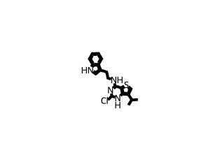 CC(C)c1csc2c1NC(Cl)N=C2NCCc1c[nH]c2ccccc12